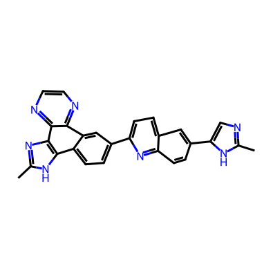 Cc1ncc(-c2ccc3nc(-c4ccc5c(c4)c4nccnc4c4nc(C)[nH]c54)ccc3c2)[nH]1